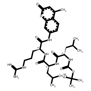 Cc1cc(=O)oc2cc(NC(=O)[C@H](CCCNC(=N)N)NC(=O)[C@H](CC(C)C)NC(=O)[C@H](CC(C)C)NC(=O)OC(C)(C)C)ccc12